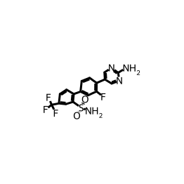 Nc1ncc(-c2ccc(-c3ccc(C(F)(F)F)cc3S(N)(=O)=O)cc2F)cn1